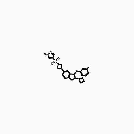 Cn1cc(S(=O)(=O)N2CC(c3ccc4c(c3)C(Cc3cccc(F)c3)C(N3CCC3)C4)C2)cn1